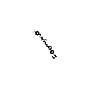 O=C(COCc1ccc(F)cc1)NCCCCCc1csc(-c2ccc(N3CCOCC3)cc2)n1